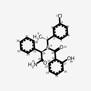 C[C@H](c1cccc(Cl)c1)N(C(=O)c1ccccc1O)[C@@H](C(N)=O)c1ccccc1